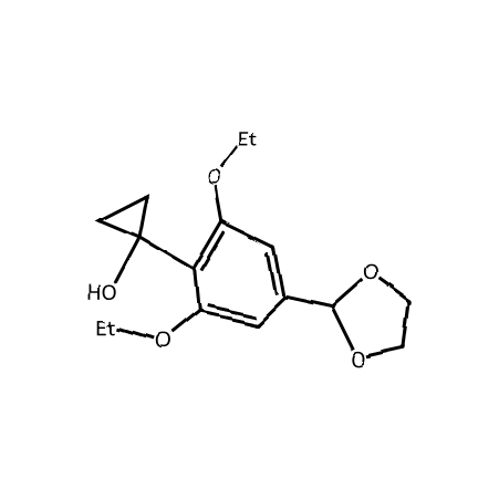 CCOc1cc(C2OCCO2)cc(OCC)c1C1(O)CC1